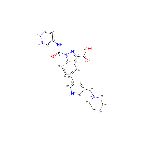 O=C(O)c1nn(C(=O)Nc2ccnnc2)c2ccc(-c3cncc(CN4CCCCC4)c3)cc12